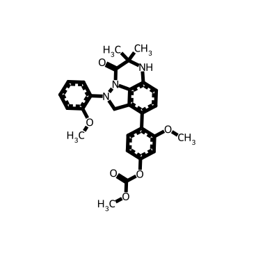 COC(=O)Oc1ccc(-c2ccc3c4c2CN(c2ccccc2OC)N4C(=O)C(C)(C)N3)c(OC)c1